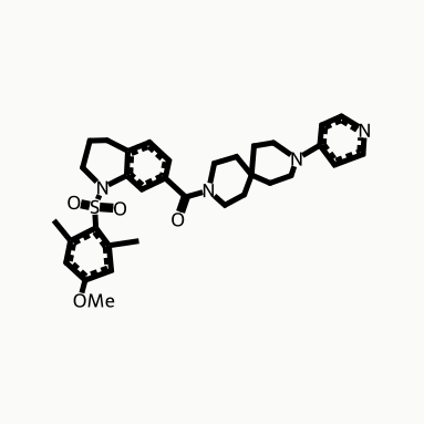 COc1cc(C)c(S(=O)(=O)N2CCCc3ccc(C(=O)N4CCC5(CC4)CCN(c4ccncc4)CC5)cc32)c(C)c1